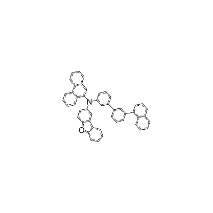 c1cc(-c2cccc(N(c3ccc4oc5ccccc5c4c3)c3cc4ccccc4c4ccccc34)c2)cc(-c2cccc3ccccc23)c1